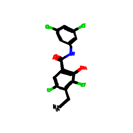 CCc1c(Cl)cc(C(=O)Nc2cc(Cl)cc(Cl)c2)c(O)c1Cl